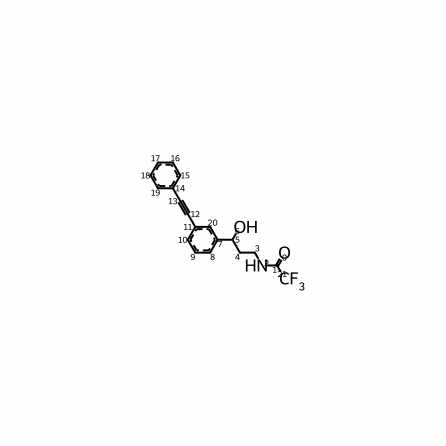 O=C(NCCC(O)c1cccc(C#Cc2ccccc2)c1)C(F)(F)F